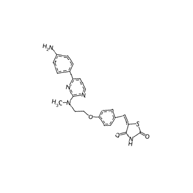 CN(CCOc1ccc(C=C2SC(=O)NC2=O)cc1)c1nccc(-c2ccc(N)cc2)n1